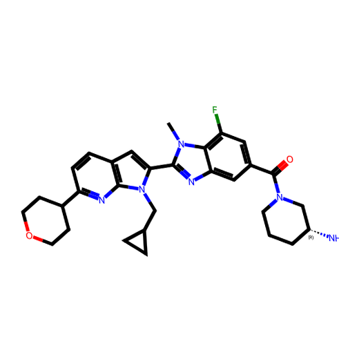 Cn1c(-c2cc3ccc(C4CCOCC4)nc3n2CC2CC2)nc2cc(C(=O)N3CCC[C@@H](N)C3)cc(F)c21